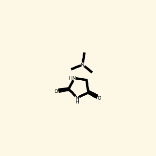 CN(C)C.O=C1CNC(=O)N1